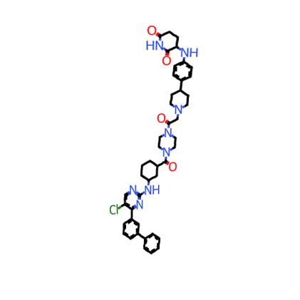 O=C1CCC(Nc2ccc(C3CCN(CC(=O)N4CCN(C(=O)C5CCCC(Nc6ncc(Cl)c(-c7cccc(-c8ccccc8)c7)n6)C5)CC4)CC3)cc2)C(=O)N1